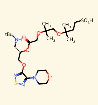 CC(C)(C)NC[C@@H](COc1nsnc1N1CCOCC1)OC(=O)COC(C)(C)COC(C)(C)CCS(=O)(=O)O